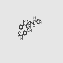 CC(=O)N[C@H]1CC[C@H](Nc2cc(Nc3ccccc3)c3ncc(C(=O)Nc4ccncc4)n3n2)CC1